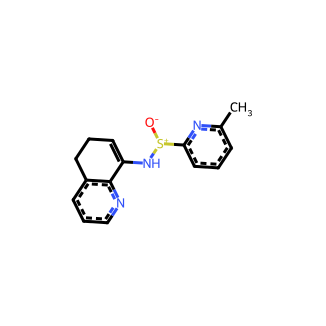 Cc1cccc([S+]([O-])NC2=CCCc3cccnc32)n1